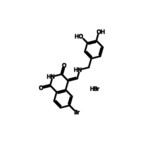 Br.O=C1NC(=O)c2ccc(Br)cc2C1=CNCc1ccc(O)c(O)c1